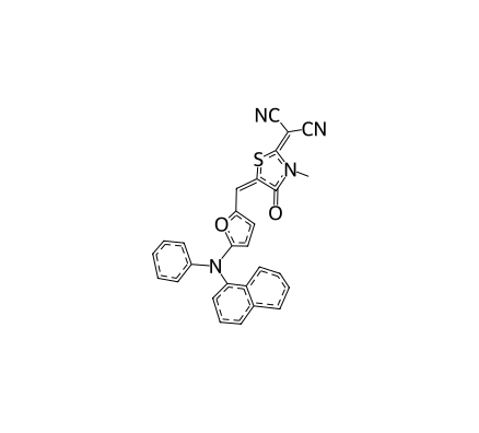 Cn1c(=C(C#N)C#N)s/c(=C/c2ccc(N(c3ccccc3)c3cccc4ccccc34)o2)c1=O